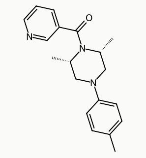 Cc1ccc(N2C[C@@H](C)N(C(=O)c3cccnc3)[C@@H](C)C2)cc1